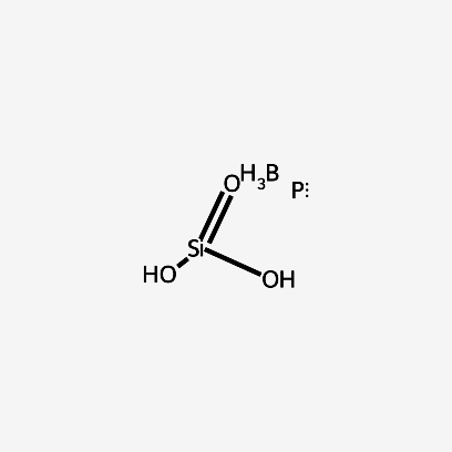 B.O=[Si](O)O.[P]